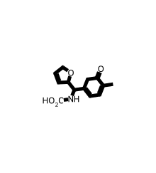 CC1=CC=C(C(NC(=O)O)C2C=CCO2)CC1=O